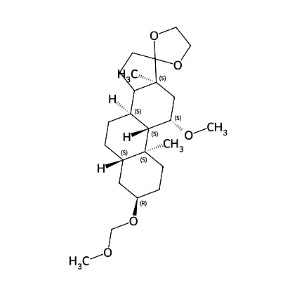 COCO[C@@H]1CC[C@@]2(C)[C@@H](CC[C@H]3C4CCC5(OCCO5)[C@@]4(C)C[C@H](OC)[C@@H]32)C1